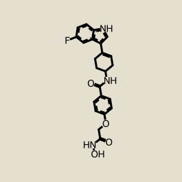 O=C(COc1ccc(C(=O)NC2CC=C(c3c[nH]c4ccc(F)cc34)CC2)cc1)NO